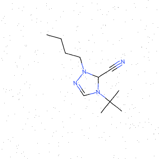 CCCCN1N=CN(C(C)(C)C)C1C#N